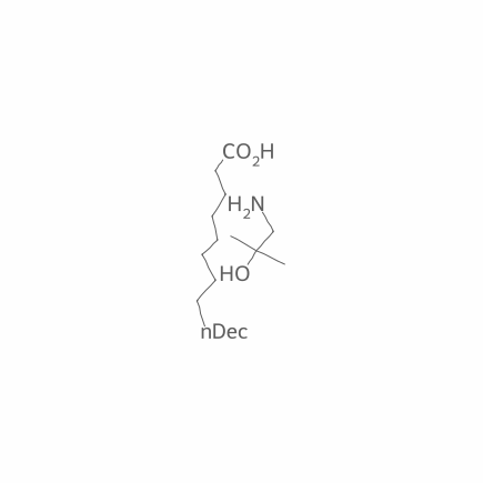 CC(C)(O)CN.CCCCCCCCCCCCCCCCCC(=O)O